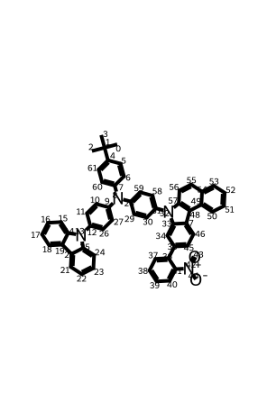 CC(C)(C)c1ccc(N(c2ccc(-n3c4ccccc4c4ccccc43)cc2)c2ccc(-n3c4cc(-c5ccccc5[N+](=O)[O-])ccc4c4c5ccccc5ccc43)cc2)cc1